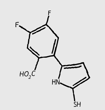 O=C(O)c1cc(F)c(F)cc1-c1ccc(S)[nH]1